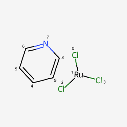 [Cl][Ru]([Cl])[Cl].c1ccncc1